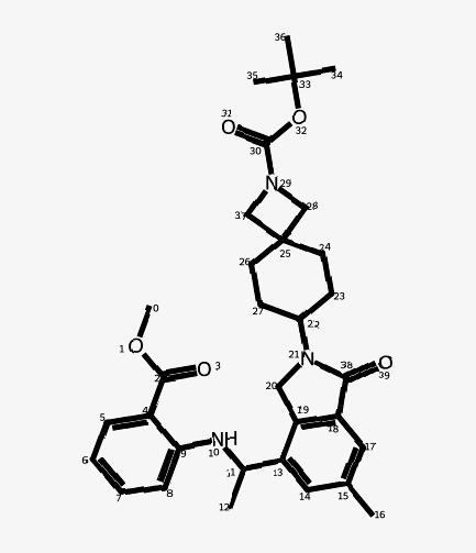 COC(=O)c1ccccc1NC(C)c1cc(C)cc2c1CN(C1CCC3(CC1)CN(C(=O)OC(C)(C)C)C3)C2=O